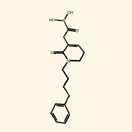 O=C(CC1=CCCN(CCCCc2ccccc2)C1=O)N(O)O